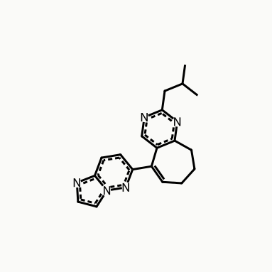 CC(C)Cc1ncc2c(n1)CCCC=C2c1ccc2nccn2n1